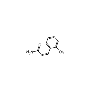 NC(=O)/C=C\c1ccccc1O